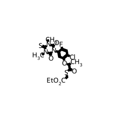 CCOC(=O)CSC(=O)C(C)Oc1cc(-n2c(=O)n(C)c(=S)n(C)c2=O)c(F)cc1Cl